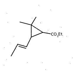 CC=CC1C(C(=O)OCC)C1(C)C